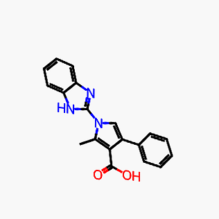 Cc1c(C(=O)O)c(-c2ccccc2)cn1-c1nc2ccccc2[nH]1